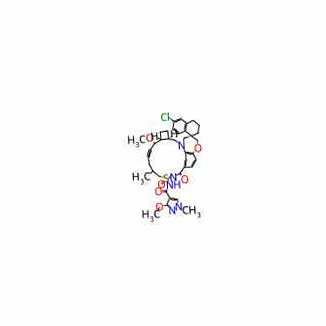 COc1nn(C)cc1C(=O)N[S@@]1(=O)=NC(=O)c2ccc3c(c2)N(C[C@@H]2CC[C@H]2[C@H](OC)C#CC[C@H](C)C1)C[C@@]1(CCCc2cc(Cl)ccc21)CO3